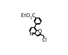 CCOC(=O)c1cccc(-c2ccnc3cc(CCl)oc23)c1